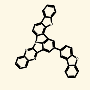 c1ccc2nc3c(nc2c1)c1cc(-c2ccc4oc5ccccc5c4c2)cc2c4c5oc6ccccc6c5ccc4n3c12